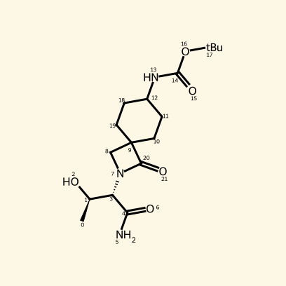 C[C@@H](O)[C@@H](C(N)=O)N1CC2(CCC(NC(=O)OC(C)(C)C)CC2)C1=O